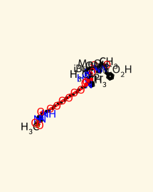 CC[C@H](C)[C@@H]([C@@H](CC(=O)N1CCC[C@H]1[C@H](OC)[C@@H](C)C(=O)N[C@@H](Cc1ccccc1)C(=O)O)OC)N(C)C(=O)[C@@H](NC(=O)[C@]1(C)CCCN1C(=O)CCOCCOCCOCCOCCOCCOCCNC(=O)c1cnc(S(C)(=O)=O)cn1)C(C)C